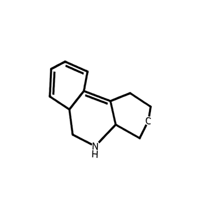 C1=CC2=C3CCCCC3NCC2C=C1